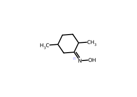 CC1CCC(C)/C(=N\O)C1